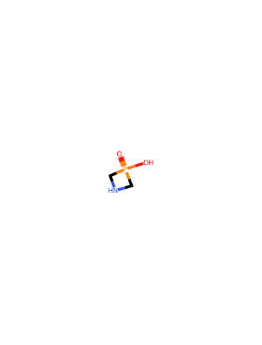 O=P1(O)CNC1